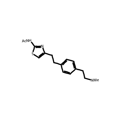 CNCCc1ccc(CCc2csc(NC(C)=O)n2)cc1